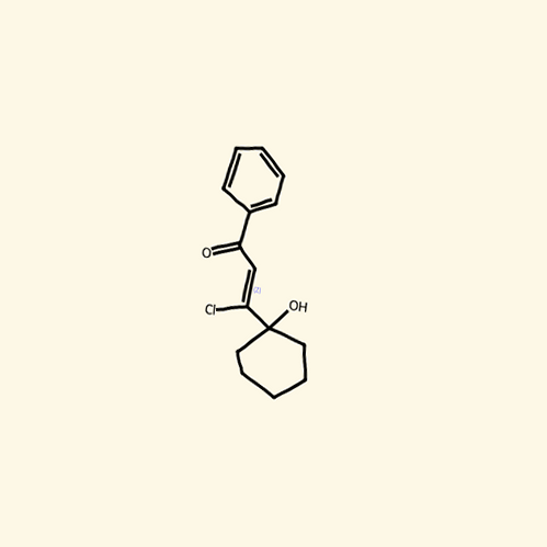 O=C(/C=C(\Cl)C1(O)CCCCC1)c1ccccc1